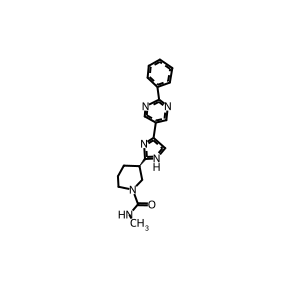 CNC(=O)N1CCC[C@@H](c2nc(-c3cnc(-c4ccccc4)nc3)c[nH]2)C1